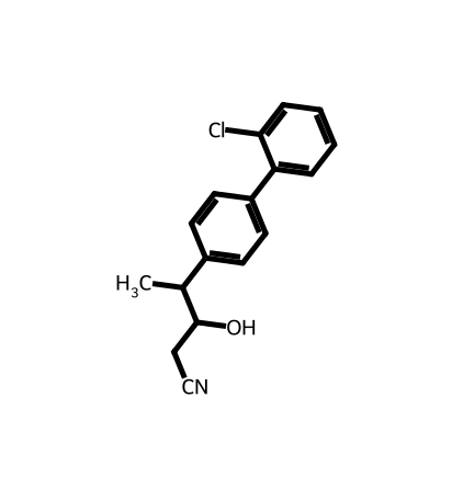 CC(c1ccc(-c2ccccc2Cl)cc1)C(O)CC#N